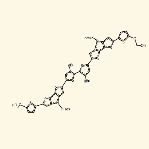 CCCCCCn1c2cc(-c3ccc(OCO)s3)sc2c2sc(-c3cc(CCCC)c(-c4sc(-c5cc6c(s5)c5sc(-c7ccc(C(=O)O)s7)cc5n6CCCCCC)cc4CCCC)s3)cc21